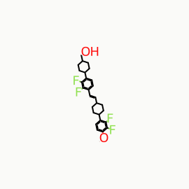 COc1ccc(C2CCC(/C=C/c3ccc(C4CCC(CO)CC4)c(F)c3F)CC2)c(F)c1F